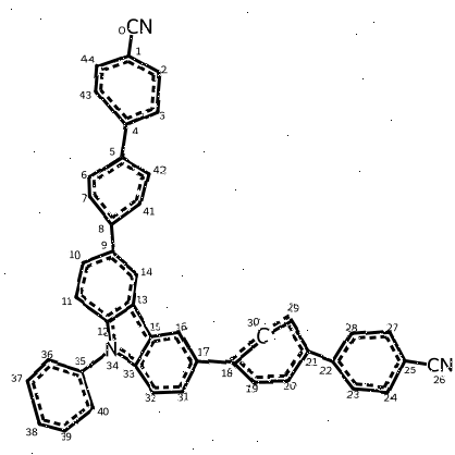 N#Cc1ccc(-c2ccc(-c3ccc4c(c3)c3cc(-c5ccc(-c6ccc(C#N)cc6)cc5)ccc3n4-c3ccccc3)cc2)cc1